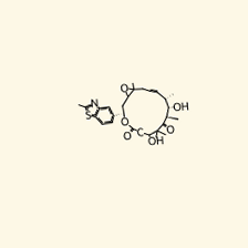 Cc1nc2cc([C@@H]3CC4OC4(C)C/C=C/[C@H](C)[C@H](O)[C@@H](C)C(=O)C(C)(C)[C@@H](O)CC(=O)O3)ccc2s1